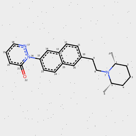 C[C@@H]1CCC[C@H](C)N1CCc1ccc2cc(-n3ncccc3=O)ccc2c1